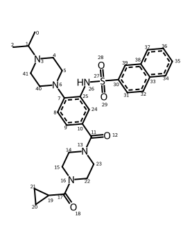 CC(C)N1CCN(c2ccc(C(=O)N3CCN(C(=O)C4CC4)CC3)cc2NS(=O)(=O)c2ccc3ccccc3c2)CC1